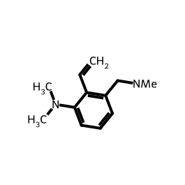 C=Cc1c(CNC)cccc1N(C)C